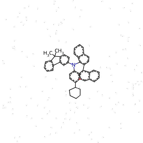 CC1(C)c2ccccc2-c2cc(N(c3ccc(C4CCCCC4)cc3)c3c(-c4cccc5ccccc45)ccc4ccccc34)ccc21